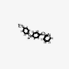 CCc1ccc(N(C)c2ccc(Oc3ccccn3)cc2)cc1